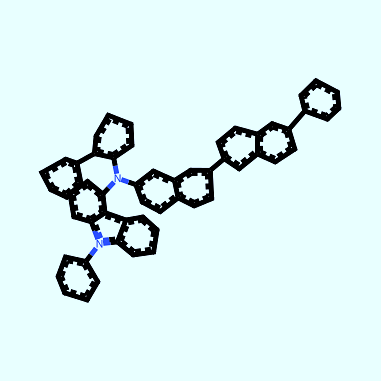 c1ccc(-c2ccc3cc(-c4ccc5ccc(N(c6ccccc6-c6ccccc6)c6cccc7c6c6ccccc6n7-c6ccccc6)cc5c4)ccc3c2)cc1